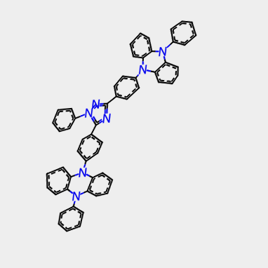 c1ccc(N2c3ccccc3N(c3ccc(-c4nc(-c5ccc(N6c7ccccc7N(c7ccccc7)c7ccccc76)cc5)n(-c5ccccc5)n4)cc3)c3ccccc32)cc1